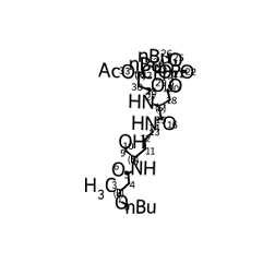 CCCCO[C@H](C)CC(=O)N[C@@H](CO)CCCNC(=O)[C@H](CCOP(=O)(OCCCC)OCCCC)NC(=O)C[C@@H](C)OC(C)=O